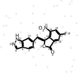 O=C1O/C(=C\c2ccc3cn[nH]c3c2)c2c1cc(F)cc2[N+](=O)[O-]